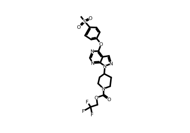 CS(=O)(=O)c1ccc(Oc2ncnc3c2cnn3C2CCN(C(=O)OCC(F)(F)F)CC2)cc1